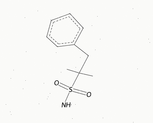 CC(C)(Cc1ccccc1)S([NH])(=O)=O